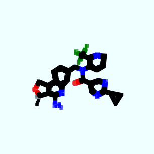 C[C@@H]1OCc2c1c(N)nc1cc(CN(C(=O)c3cnc(C4CC4)nc3)c3cccnc3C(F)(F)F)ccc21